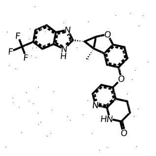 C[C@@]12c3cc(Oc4ccnc5c4CCC(=O)N5)ccc3OC1[C@H]2c1nc2ccc(C(F)(F)F)cc2[nH]1